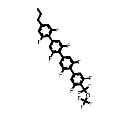 CCCc1cc(F)c(-c2cc(F)c(-c3cc(F)c(-c4cc(F)c(C(F)(F)OC(F)(F)F)c(F)c4)c(F)c3)c(F)c2)c(F)c1